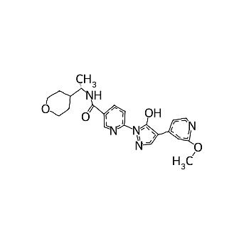 COc1cc(-c2cnn(-c3ccc(C(=O)N[C@@H](C)C4CCOCC4)cn3)c2O)ccn1